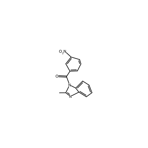 Cc1nc2ccccc2n1C(=O)c1cccc([N+](=O)[O-])c1